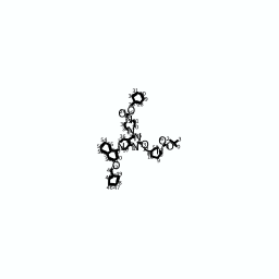 CC(C)(C)OC(=O)N1CCC[C@@H](COc2nc3c(c(N4CCN(C(=O)OCc5ccccc5)CC4)n2)CCN(c2cc(OCc4ccccc4)cc4ccccc24)C3)C1